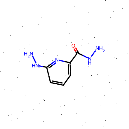 NNC(=O)c1cccc(NN)n1